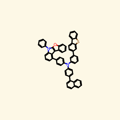 c1ccc(-n2c3cccc(-c4ccc(N(c5ccc(-c6cccc7ccccc67)cc5)c5cccc(-c6ccc7c(c6)sc6ccccc67)c5)cc4)c3c3c4ccccc4oc32)cc1